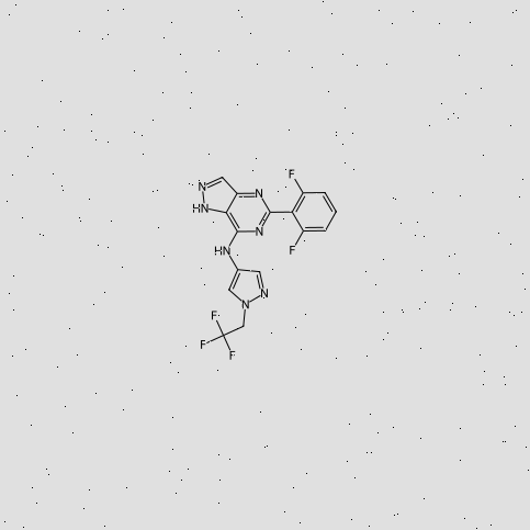 Fc1cccc(F)c1-c1nc(Nc2cnn(CC(F)(F)F)c2)c2[nH]ncc2n1